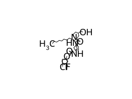 CCCCCCCCCN1CCC(CO)CC1C(=O)NC12CCC(NC(=O)COc3ccc(Cl)c(F)c3)(C1)C2